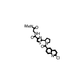 CNC(=O)CNC(=O)c1csc(C2CCCN2C(=O)c2ccc3nc(Cl)ccc3c2)n1